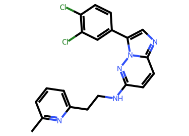 Cc1cccc(CCNc2ccc3ncc(-c4ccc(Cl)c(Cl)c4)n3n2)n1